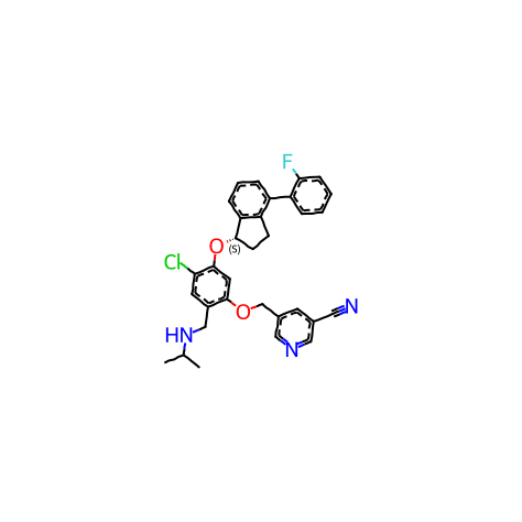 CC(C)NCc1cc(Cl)c(O[C@H]2CCc3c(-c4ccccc4F)cccc32)cc1OCc1cncc(C#N)c1